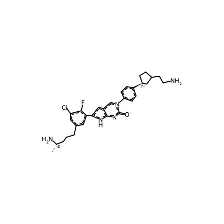 C[C@H](N)CCCc1cc(Cl)c(F)c(-c2cc3cn(-c4ccc([C@H]5CCC(CCN)C5)cc4)c(=O)nc3[nH]2)c1